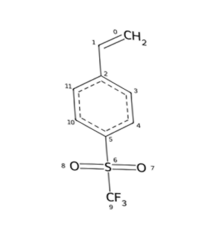 C=Cc1ccc(S(=O)(=O)C(F)(F)F)cc1